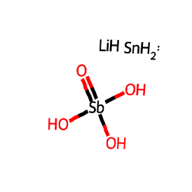 [LiH].[O]=[Sb]([OH])([OH])[OH].[SnH2]